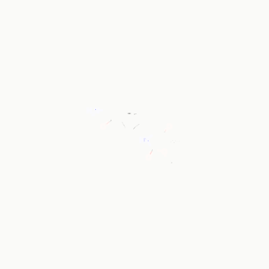 COC(=O)C(Cc1c(C)cc(C(=O)CN)cc1C)NC(=O)OC(C)(C)C